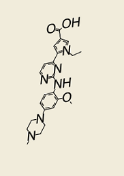 CCn1cc(C(=O)O)cc1-c1ccnc(Nc2ccc(N3CCN(C)CC3)cc2OC)n1